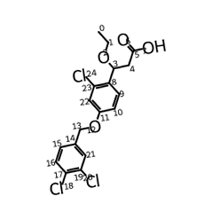 CCOC(CC(=O)O)c1ccc(OCc2ccc(Cl)c(Cl)c2)cc1Cl